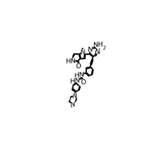 CN1CCN(c2ccc(NC(=O)Nc3cccc(C#Cc4cnc(N)nc4-c4cc5c(n4C)CCNC5=O)c3)cc2)CC1